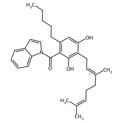 CCCCCc1cc(O)c(C/C=C(\C)CCC=C(C)C)c(O)c1C(=O)n1ccc2ccccc21